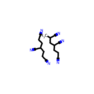 CC(C#N)CC(C#N)CCC#N.N#CCCC(C#N)CCC#N